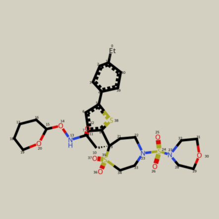 CCc1ccc(-c2ccc([C@@]3(CC(=O)NOC4CCCCO4)CCN(S(=O)(=O)N4CCOCC4)CCS3(=O)=O)s2)cc1